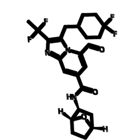 CC(F)(F)c1nc2cc(C(=O)N[C@H]3C[C@@H]4CC[C@H]3O4)cc(C=O)n2c1CC1CCC(F)(F)CC1